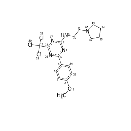 COc1ccc(-c2nc(NCCN3CCCC3)nc(C(Cl)(Cl)Cl)n2)cc1